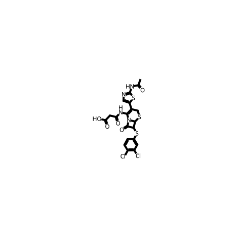 CC(=O)Nc1ncc(C2=C(NC(=O)CC(=O)O)N3C(=O)C(Sc4ccc(Cl)c(Cl)c4)C3SC2)s1